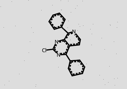 Clc1nc(-c2ccccc2)c2ccnc(-c3ccccc3)c2n1